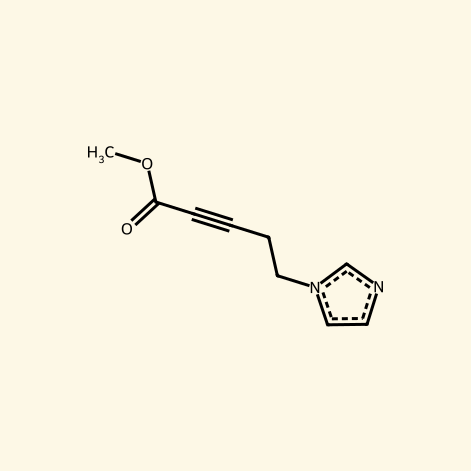 COC(=O)C#CCCn1ccnc1